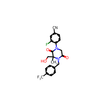 CC1(CO)C(=O)N(c2ccc(C#N)cc2F)CC(=O)N1Cc1ccc(C(F)(F)F)cc1